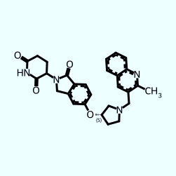 Cc1nc2ccccc2cc1CN1CC[C@H](Oc2ccc3c(c2)CN(C2CCC(=O)NC2=O)C3=O)C1